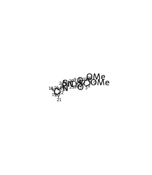 COc1ccc(S(=O)(=O)C2CCN(c3nc(-c4cc(C)cc(C)c4)cs3)CC2)cc1OC